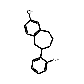 Oc1ccc2c(c1)CCCC(c1ccccc1O)C2